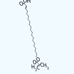 C=C(C)C(=O)OCCCCCCCCCCCCCCCCCCC=CC(=O)O